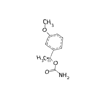 COc1cccc([C@H](C)OC(N)=O)c1